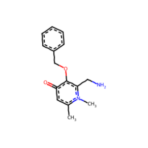 Cc1cc(=O)c(OCc2ccccc2)c(CN)n1C